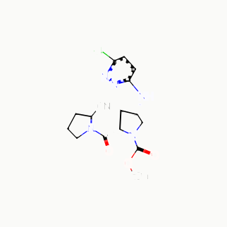 CC(C)(C)OC(=O)N1C[C@@H](Nc2ccc(Cl)nn2)C[C@H]1C(=O)N1CCCC1C#N